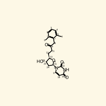 Cc1cccc(C)c1CC(=O)CC[C@H]1O[C@@H](n2ccc(=O)[nH]c2=O)C[C@@H]1O